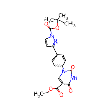 CCOC(=O)c1cn(-c2ccc(-c3ccn(C(=O)OC(C)(C)C)n3)cc2)c(=O)[nH]c1=O